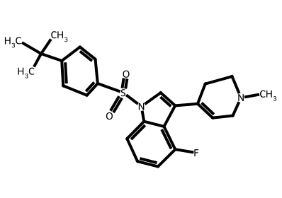 CN1CC=C(c2cn(S(=O)(=O)c3ccc(C(C)(C)C)cc3)c3cccc(F)c23)CC1